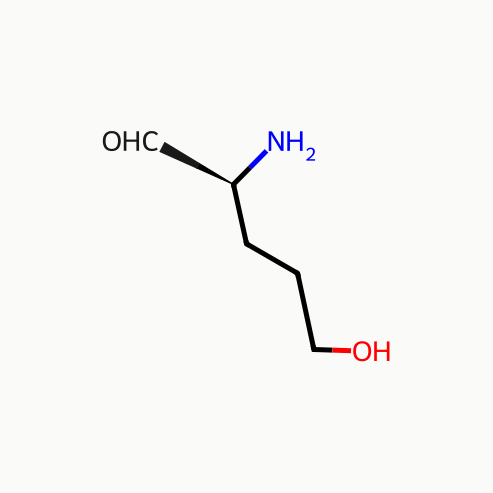 N[C@H](C=O)CCCO